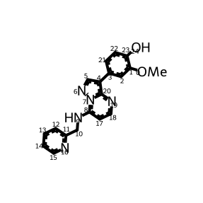 COc1cc(-c2cnn3c(NCc4ccccn4)ccnc23)ccc1O